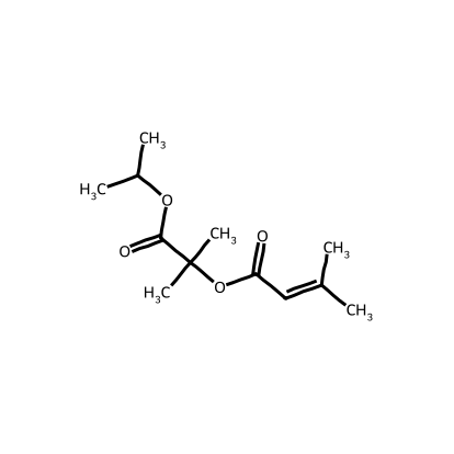 CC(C)=CC(=O)OC(C)(C)C(=O)OC(C)C